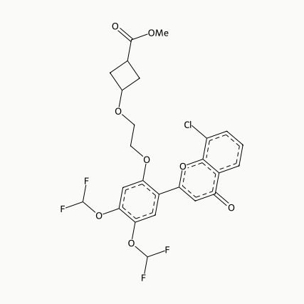 COC(=O)C1CC(OCCOc2cc(OC(F)F)c(OC(F)F)cc2-c2cc(=O)c3cccc(Cl)c3o2)C1